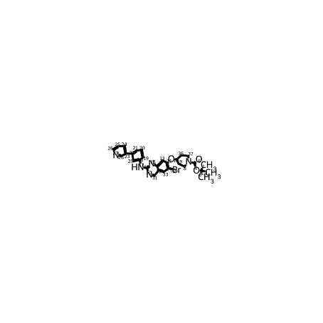 CC(C)(C)OC(=O)N1CCC(Oc2cc3nc(Nc4cccc(-c5cccnc5)c4)ncc3cc2Br)CC1